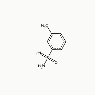 Cc1cccc(S(=N)(N)=O)c1